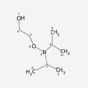 CC(C)N(OCCO)C(C)C